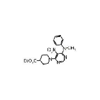 CCOC(=O)C1CCN(c2ncnc(N(C)c3ccccc3)c2[N+](=O)[O-])CC1